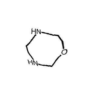 C1NCOCN1